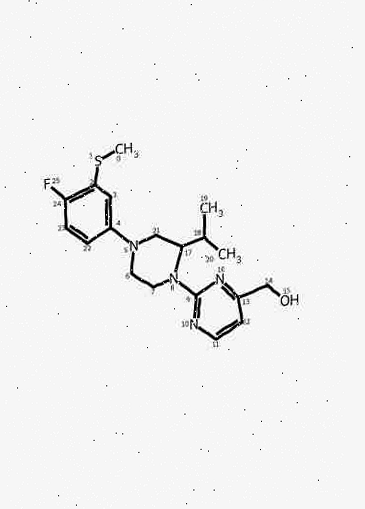 CSc1cc(N2CCN(c3nccc(CO)n3)C(C(C)C)C2)ccc1F